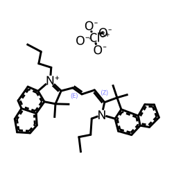 CCCCN1/C(=C\C=C\C2=[N+](CCCC)c3ccc4ccccc4c3C2(C)C)C(C)(C)c2c1ccc1ccccc21.[O-][Cl+3]([O-])([O-])[O-]